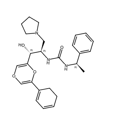 C[C@@H](NC(=O)N[C@H](CN1CCCC1)[C@@H](O)C1=COC=C(C2=CC=CCC2)O1)c1ccccc1